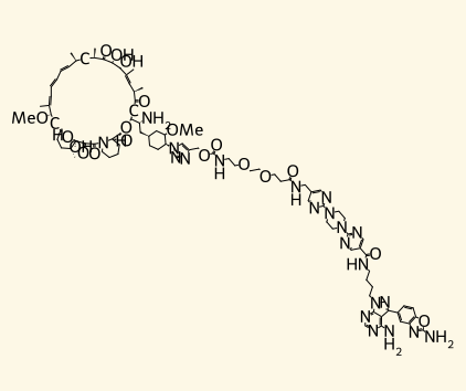 CO[C@H]1C[C@@H]2CC[C@@H](C)[C@@](O)(O2)C(=O)C(=O)N2CCCC[C@H]2C(=O)O[C@H]([C@H](N)C[C@@H]2CC[C@H](n3cc(COC(=O)NCCOCCOCCC(=O)NCc4cnc(N5CCN(c6ncc(C(=O)NCCCCn7nc(-c8ccc9oc(N)nc9c8)c8c(N)ncnc87)cn6)CC5)nc4)nn3)[C@H](OC)C2)CC(=O)[C@H](C)/C=C(\C)[C@@H](O)[C@@H](O)C(=O)[C@H](C)C[C@H](C)/C=C/C=C/C=C/1C